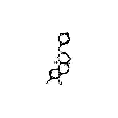 Clc1c(Br)ccc2c1CO[C@H]1CCN(Cc3ccccc3)C[C@H]21